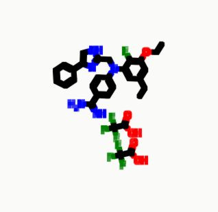 CCOc1cc(CC)cc(N(Cc2nc(-c3ccccc3)c[nH]2)c2ccc(C(=N)N)cc2)c1F.O=C(O)C(F)(F)F.O=C(O)C(F)(F)F